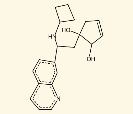 OC1C=CCC1(O)CC(NC1CCC1)c1ccc2cccnc2c1